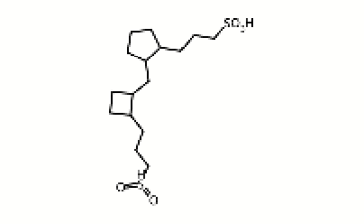 O=[SH](=O)CCCC1CCC1CC1CCCC1CCCS(=O)(=O)O